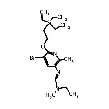 CCN(C)/C=N/c1cc(Br)c(OCC[Si](CC)(CC)CC)nc1C